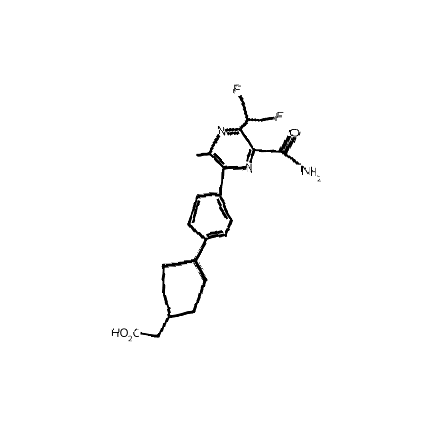 Cc1nc(C(F)F)c(C(N)=O)nc1-c1ccc(C2CCC(CC(=O)O)CC2)cc1